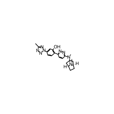 Cc1nnn(-c2ccc(-c3ccc(N(C)[C@@H]4C[C@H]5CC[C@@H](C4)N5)nn3)c(O)c2)n1